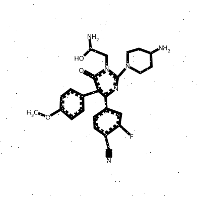 COc1ccc(-c2c(-c3ccc(C#N)c(F)c3)nc(N3CCC(N)CC3)n(CC(N)O)c2=O)cc1